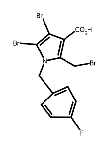 O=C(O)c1c(Br)c(Br)n(Cc2ccc(F)cc2)c1CBr